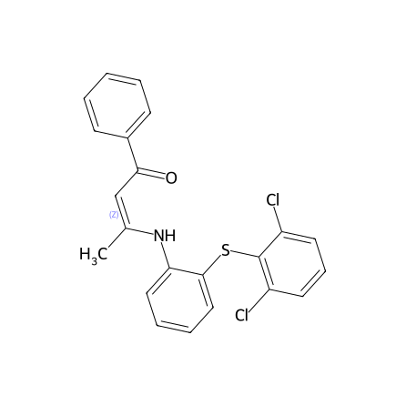 C/C(=C/C(=O)c1ccccc1)Nc1ccccc1Sc1c(Cl)cccc1Cl